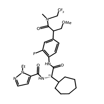 CCn1nccc1C(=O)N[C@H](C(=O)Nc1ccc(C(COC)C(=O)N(C)CC(F)(F)F)cc1F)C1CCCCCC1